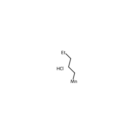 CCCC[CH2][Mn].Cl